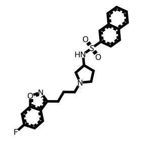 O=S(=O)(NC1CCN(CCCc2noc3cc(F)ccc23)C1)c1ccc2ccccc2c1